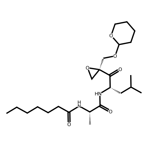 CCCCCCC(=O)N[C@@H](C)C(=O)N[C@@H](CC(C)C)C(=O)[C@@]1(COC2CCCCO2)CO1